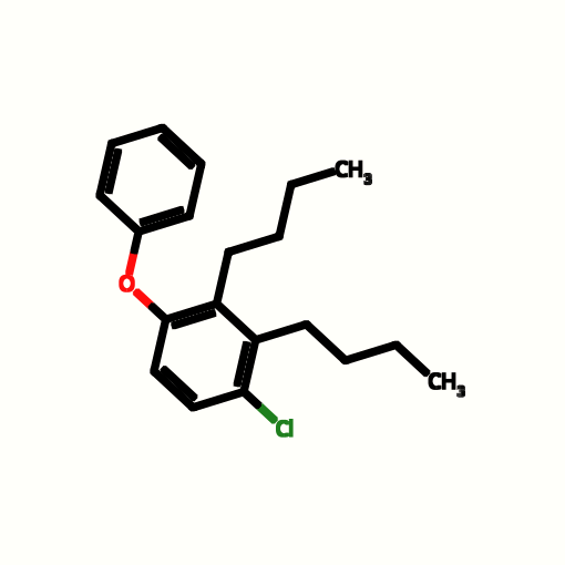 CCCCc1c(Cl)ccc(Oc2ccccc2)c1CCCC